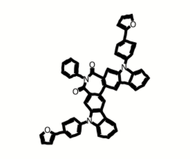 O=c1c2cc3c(cc2c2cc4c5ccccc5n(-c5ccc(-c6ccco6)cc5)c4cc2c(=O)n1-c1ccccc1)c1ccccc1n3-c1ccc(-c2ccco2)cc1